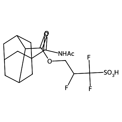 CC(=O)NC(=O)C12CC3CC(C1)C(C(=O)OCC(F)C(F)(F)S(=O)(=O)O)C(C3)C2